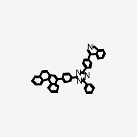 c1ccc(-c2nc(-c3ccc(-c4cncc5ccccc45)cc3)nc(-c3ccc(-c4cc5ccc6ccccc6c5c5ccccc45)cc3)n2)cc1